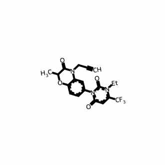 C#CCN1C(=O)C(C)Oc2ccc(-n3c(=O)cc(C(F)(F)F)n(CC)c3=O)cc21